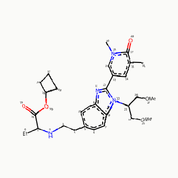 CCC(NCCc1ccc2c(c1)nc(-c1cc(C)c(=O)n(C)c1)n2C(COC)COC)C(=O)OC1CCC1